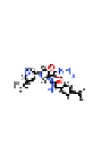 NC(=O)C[C@]1(NC(=O)Cc2ccc(C3CC3)cc2)CCN(c2cncc(C(F)(F)F)c2)C1